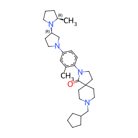 Cc1cc(N2CC[C@@H](N3CCC[C@H]3C)C2)ccc1N1CCC2(CCN(CC3CCCC3)CC2)C1=O